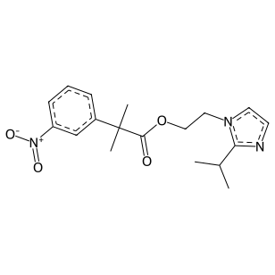 CC(C)c1nccn1CCOC(=O)C(C)(C)c1cccc([N+](=O)[O-])c1